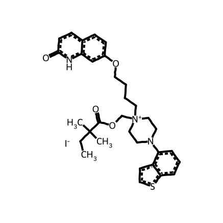 CCC(C)(C)C(=O)OC[N+]1(CCCCOc2ccc3ccc(=O)[nH]c3c2)CCN(c2cccc3sccc23)CC1.[I-]